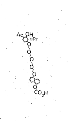 CCCc1c(OCCOCCOCCOCCOc2cccc3c(OCC(=O)O)cccc23)ccc(C(C)=O)c1O